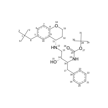 CC(C)(C)Cc1ccc2c(c1)[C@@H](NC[C@@H](O)C(Cc1ccccc1)NC(=O)OC(C)(C)C)CCO2